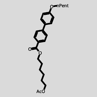 CCCCCOc1ccc(-c2ccc(C(=O)OCCCCCCOC(C)=O)cc2)cc1